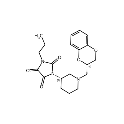 CCCN1C(=O)C(=O)N([C@H]2CCCN(C[C@H]3COc4ccccc4O3)C2)C1=O